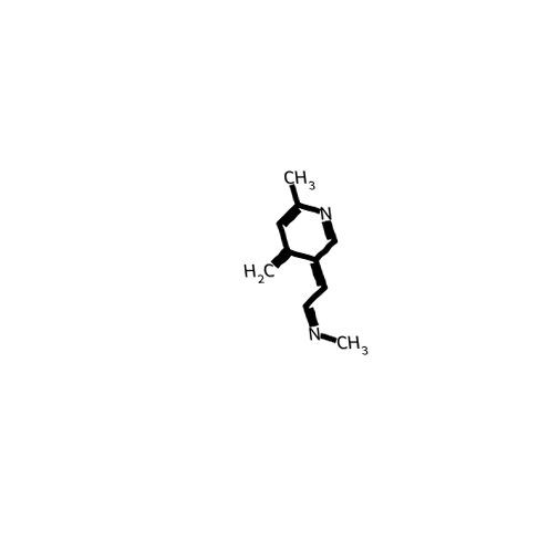 C=c1cc(C)nc/c1=C/C=N\C